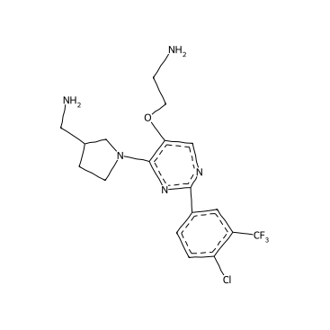 NCCOc1cnc(-c2ccc(Cl)c(C(F)(F)F)c2)nc1N1CCC(CN)C1